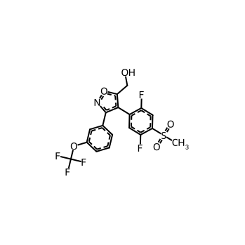 CS(=O)(=O)c1cc(F)c(-c2c(-c3cccc(OC(F)(F)F)c3)noc2CO)cc1F